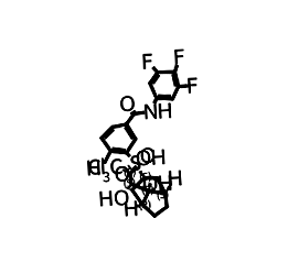 C[C@H](O)[C@H](O)[C@@]1(O)[C@@H]2CC[C@H]1C[C@H](S(=O)(=O)c1cc(C(=O)Nc3cc(F)c(F)c(F)c3)ccc1Cl)C2